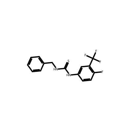 Fc1ccc(NC(=S)NCc2ccccc2)cc1C(F)(F)F